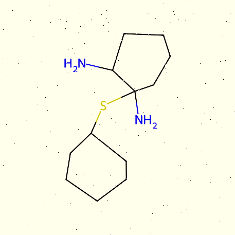 NC1CCCCC1(N)SC1CCCCC1